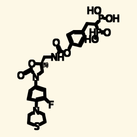 O=C(NC[C@H]1CN(c2ccc(N3CCSCC3)c(F)c2)C(=O)O1)Oc1ccc(CC(P(O)O)[PH](=O)O)cc1